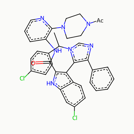 CC(=O)N1CCN(c2ncccc2NC(=O)c2[nH]c3cc(Cl)ccc3c2-c2c(-c3ccccc3)ncn2C(C)c2ccc(Cl)cc2)CC1